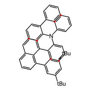 CC(C)(C)c1cc(-c2cccc3cccc(-c4ccccc4N(c4ccccc4)c4ccccc4-c4ccccc4)c23)cc(C(C)(C)C)c1